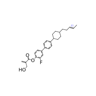 C=C(CO)C(=O)Oc1ccc(-c2ccc(C3CCC(CC/C=C/C)CC3)cc2)cc1F